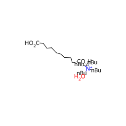 CCCC[N+](CCCC)(CCCC)CCCC.O.O=C(O)CCCCCCCCC(=O)O